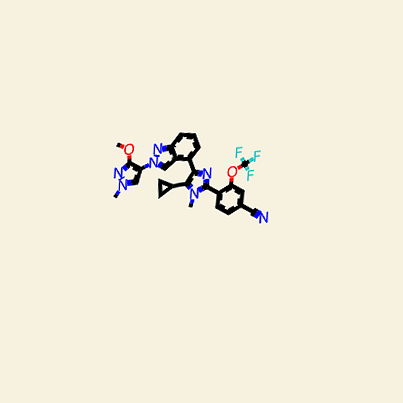 COc1nn(C)cc1-n1cc2c(-c3nc(-c4ccc(C#N)cc4OC(F)(F)F)n(C)c3C3CC3)cccc2n1